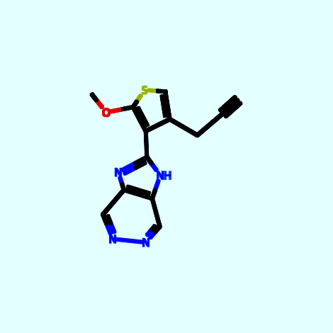 C#CCc1csc(OC)c1-c1nc2cnncc2[nH]1